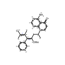 CO/C(CC(C)n1ccc(=O)c2c(N)ncnc21)=C(/C(C)=C(\C)Cl)c1cccnc1